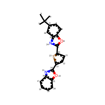 CC(C)(C)c1ccc2oc(-c3ccc(-c4nc5ccccc5o4)s3)nc2c1